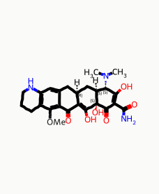 COc1c2c(cc3c1C(=O)C1=C(O)[C@]4(O)C(=O)C(C(N)=O)=C(O)[C@@H](N(C)C)[C@@H]4C[C@@H]1C3)NCCC2